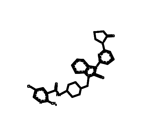 Cc1ncc(Cl)cc1C(=O)NC1CCC(Cn2c(=O)n(-c3cccc(N4CCCC4=O)n3)c3ccccc32)CC1